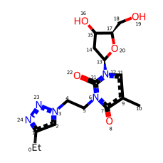 CCc1cn(CCn2c(=O)c(C)cn([C@H]3CC(O)[C@@H](CO)O3)c2=O)nn1